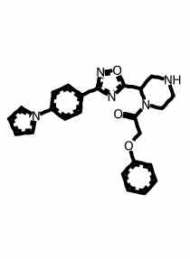 O=C(COc1ccccc1)N1CCNCC1c1nc(-c2ccc(-n3cccc3)cc2)no1